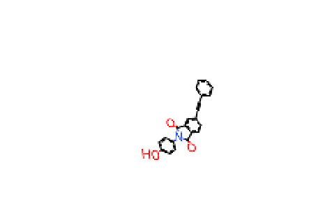 O=C1c2ccc(C#Cc3ccccc3)cc2C(=O)N1c1ccc(O)cc1